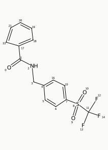 O=C(NCc1ccc(S(=O)(=O)C(F)(F)F)cc1)c1ccccc1